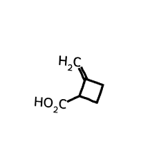 C=C1CCC1C(=O)O